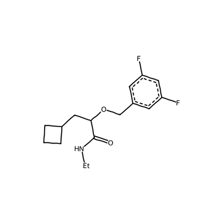 CCNC(=O)C(CC1CCC1)OCc1cc(F)cc(F)c1